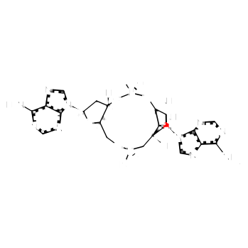 CP1(=O)O[C@H]2C[C@@H](n3cnc4c(N)ncnc43)[C@H](CP(=O)(S)OC[C@H]3O[C@@H](n4cnc5c(N)ncnc54)C[C@@H]3O1)[C@@H]2O